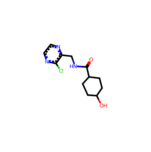 O=C(NCc1nccnc1Cl)C1CCC(O)CC1